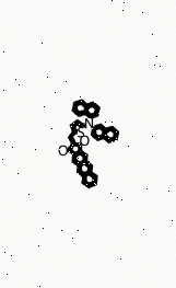 O=C1C(=Cc2ccc(N(c3ccc4ccccc4c3)c3cccc4ccccc34)s2)C(=O)c2cc3cc4ccccc4cc3cc21